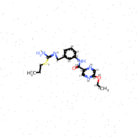 CCCS/C(N)=N\Cc1cccc(NC(=O)c2cnc(OCC)cn2)c1